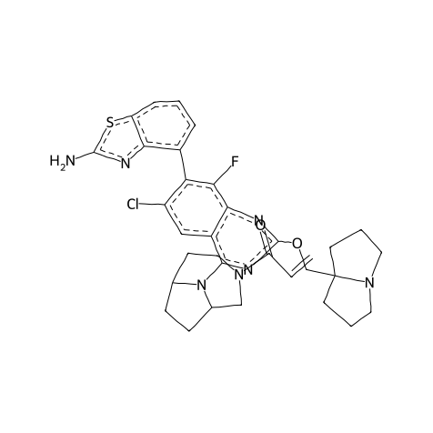 C=CC(=O)N1CCC2CCC(C1)N2c1nc(OCC23CCCN2CCC3)nc2c(F)c(-c3cccc4sc(N)nc34)c(Cl)cc12